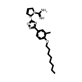 CCCCCCCCOc1ccc(-c2noc([C@@H]3C=CCN3C(=N)N)n2)cc1C